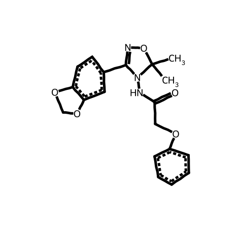 CC1(C)ON=C(c2ccc3c(c2)OCO3)N1NC(=O)COc1ccccc1